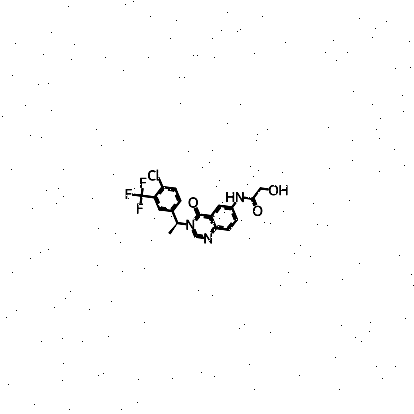 C[C@@H](c1ccc(Cl)c(C(F)(F)F)c1)n1cnc2ccc(NC(=O)CO)cc2c1=O